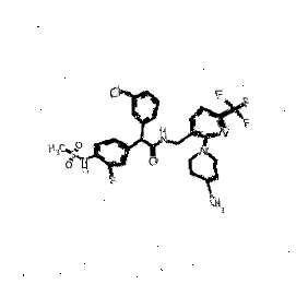 CC1CCN(c2nc(C(F)(F)F)ccc2CNC(=O)C(c2cccc(Cl)c2)c2ccc(NS(C)(=O)=O)c(F)c2)CC1